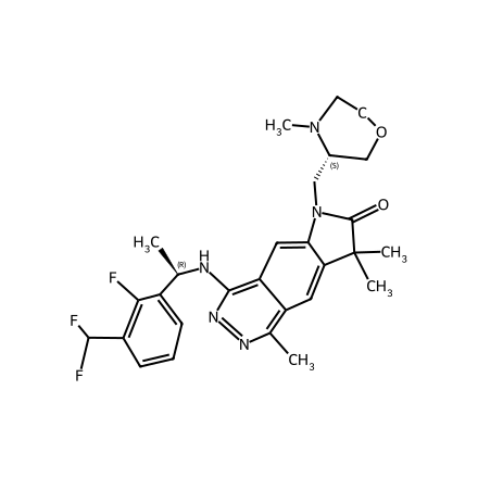 Cc1nnc(N[C@H](C)c2cccc(C(F)F)c2F)c2cc3c(cc12)C(C)(C)C(=O)N3C[C@H]1COCCN1C